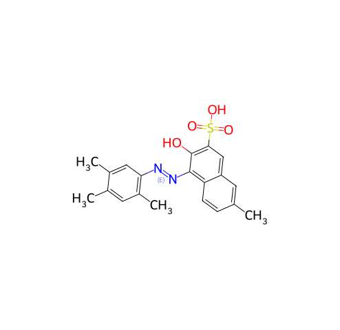 Cc1ccc2c(/N=N/c3cc(C)c(C)cc3C)c(O)c(S(=O)(=O)O)cc2c1